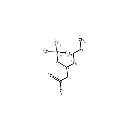 CCCNC(CC(=O)[O-])C[N+](C)(C)C